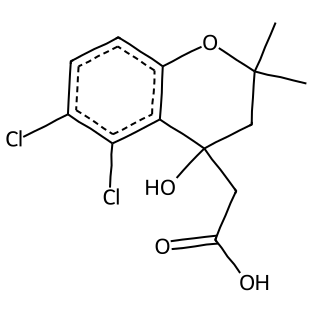 CC1(C)CC(O)(CC(=O)O)c2c(ccc(Cl)c2Cl)O1